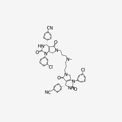 CN(CCCN1CC2=C(C1=O)[C@@H](c1ccc(C#N)cc1)NC(=O)N2c1cccc(Cl)c1)CCCN1CC2=C(C1=O)[C@@H](c1ccc(C#N)cc1)NC(=O)N2c1cccc(Cl)c1